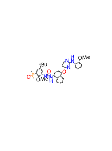 COc1ccccc1Nc1nccc(Oc2ccc(NC(=O)Nc3cc(C(C)(C)C)cc(P(C)(C)=O)c3OC)c3ccccc23)n1